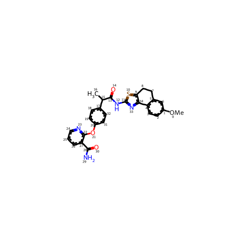 COc1ccc2c(c1)CCc1sc(NC(=O)C(C)c3ccc(Oc4ncccc4C(N)=O)cc3)nc1-2